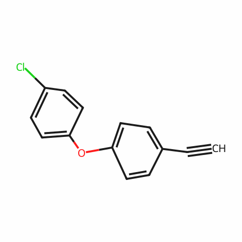 C#Cc1ccc(Oc2ccc(Cl)cc2)cc1